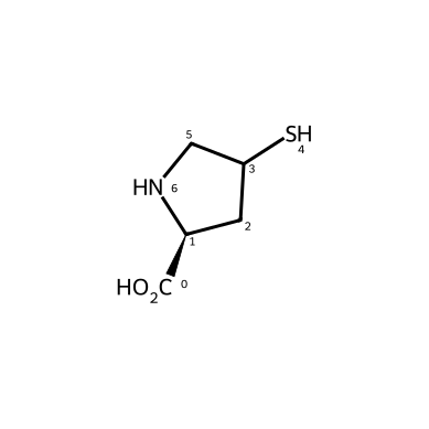 O=C(O)[C@@H]1CC(S)CN1